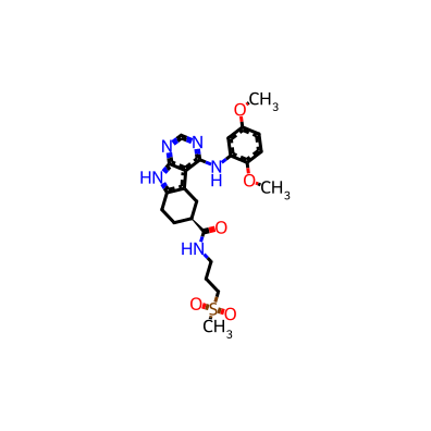 COc1ccc(OC)c(Nc2ncnc3[nH]c4c(c23)C[C@@H](C(=O)NCCCS(C)(=O)=O)CC4)c1